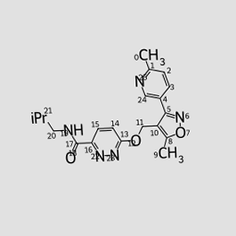 Cc1ccc(-c2noc(C)c2COc2ccc(C(=O)NCC(C)C)nn2)cn1